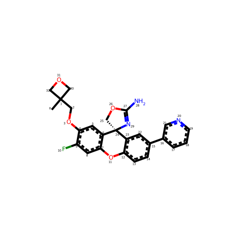 CC1(COc2cc3c(cc2F)Oc2ccc(-c4cccnc4)cc2[C@@]32COC(N)=N2)COC1